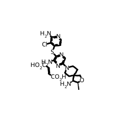 C[C@@H]1OCC2(CCN(c3cnc(Sc4ccnc(N)c4Cl)c(N)n3)CC2)[C@@H]1N.O=C(O)/C=C/C(=O)O